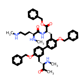 CNCCC[C@H](NC)C(=O)N[C@@H](Cc1cc(-c2ccc(OCc3ccccc3)c(C[C@H](NC)C(C)=O)c2)ccc1OCc1ccccc1)C(=O)OCc1ccccc1